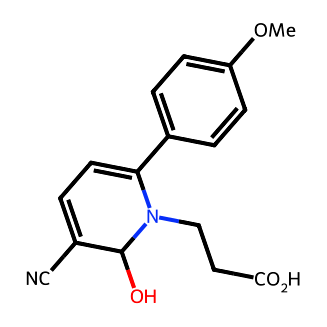 COc1ccc(C2=CC=C(C#N)C(O)N2CCC(=O)O)cc1